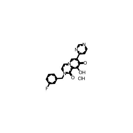 Cl.O=c1c(-c2ccncn2)cn2ccn(Cc3cccc(F)c3)c(=O)c2c1O